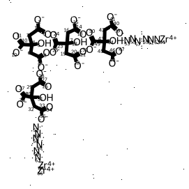 O=C([O-])CC(O)(CC(=O)[O-])C(=O)[O-].O=C([O-])CC(O)(CC(=O)[O-])C(=O)[O-].O=C([O-])CC(O)(CC(=O)[O-])C(=O)[O-].O=C([O-])CC(O)(CC(=O)[O-])C(=O)[O-].[N].[N].[N].[N].[N].[N].[N].[N].[N].[N].[N].[N].[Zr+4].[Zr+4].[Zr+4]